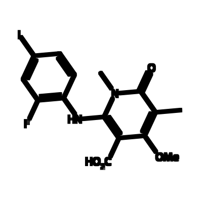 COc1c(C(=O)O)c(Nc2ccc(I)cc2F)n(C)c(=O)c1C